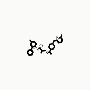 C=C(S/C=C(\C)C(=O)Nc1ccc(C)cc1-c1ccccc1)C1CCC(Cc2cccc(C)n2)CC1